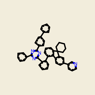 c1ccc(-c2ccc(-c3nc(-c4ccccc4)nc(-c4ccccc4-c4cccc5c4-c4ccc(-c6cccnc6)cc4C54CCCCC4)n3)cc2)cc1